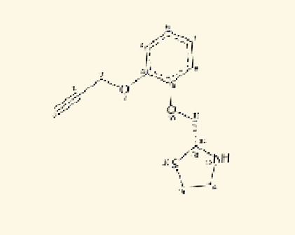 C#CCOc1ccccc1OC[C@@H]1NCCS1